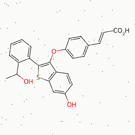 CC(O)c1ccccc1-c1sc2cc(O)ccc2c1Oc1ccc(/C=C/C(=O)O)cc1